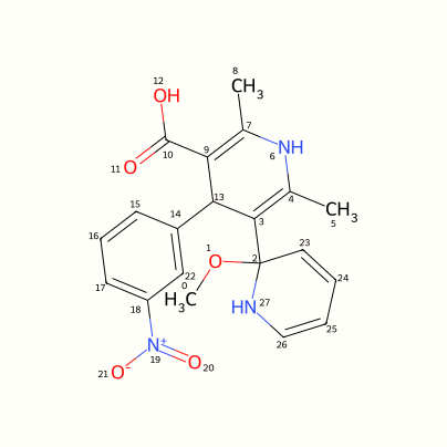 COC1(C2=C(C)NC(C)=C(C(=O)O)C2c2cccc([N+](=O)[O-])c2)C=CC=CN1